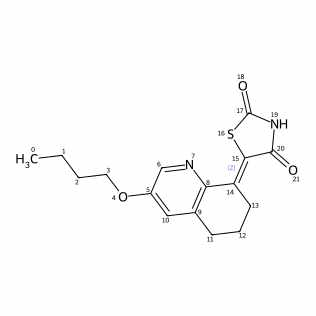 CCCCOc1cnc2c(c1)CCC/C2=C1/SC(=O)NC1=O